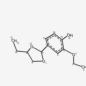 CCOc1cc(C2OCC(CC)O2)ccc1O